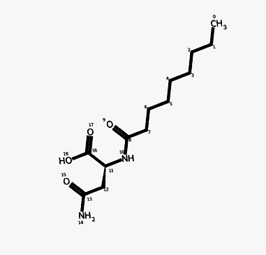 CCCCCCCCC(=O)N[C@@H](CC(N)=O)C(=O)O